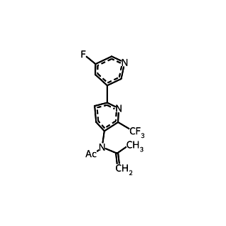 C=C(C)N(C(C)=O)c1ccc(-c2cncc(F)c2)nc1C(F)(F)F